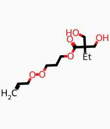 C=CCOOCCCOC(=O)C(CC)(CO)CO